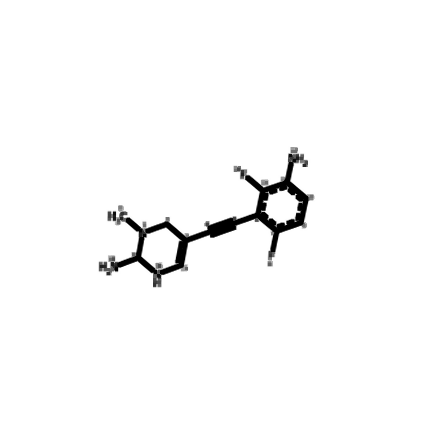 CN1CC(C#Cc2c(F)ccc(N)c2F)=CNC1N